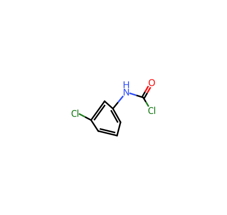 O=C(Cl)Nc1cccc(Cl)c1